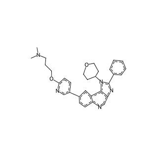 CN(C)CCCOc1ccc(-c2ccc3ncc4nc(-c5ccccc5)n(C5CCOCC5)c4c3c2)cn1